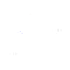 CCOC(=O)c1c(Br)[nH]c(C=O)c1C